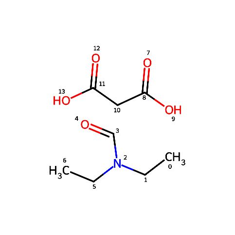 CCN(C=O)CC.O=C(O)CC(=O)O